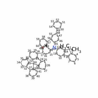 CC1(C)c2ccccc2-c2ccc(N(c3ccc(-c4cccc5c4-c4ccccc4C54C5=C(CCC=C5)c5ccccc54)cc3)c3ccc(-c4ccccc4)cc3-c3ccccc3)cc21